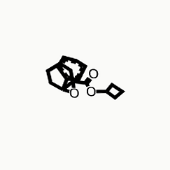 O=C(OC1CCC1)C12CCCCC1(c1ccccc1)O2